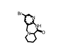 O=C1Nc2ncc(Br)cc2CN2CCCCC12